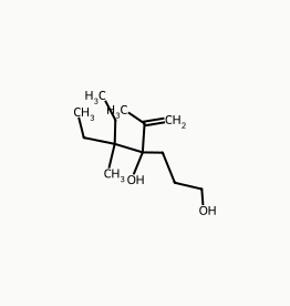 C=C(C)C(O)(CCCO)C(C)(CC)CC